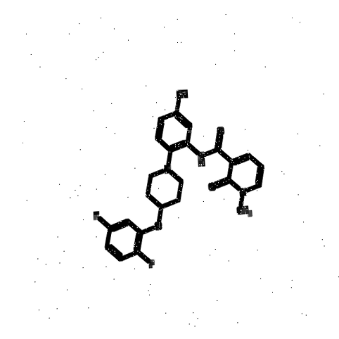 Cn1cccc(C(=O)Nc2cc(C#N)ccc2N2CCC(Oc3cc(F)ccc3F)CC2)c1=O